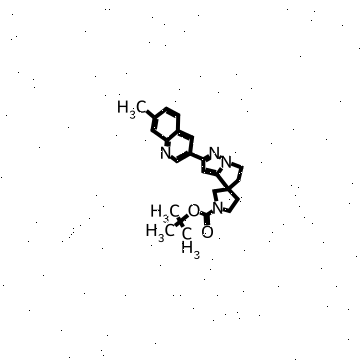 Cc1ccc2cc(-c3cc4n(n3)CCC43CCN(C(=O)OC(C)(C)C)C3)cnc2c1